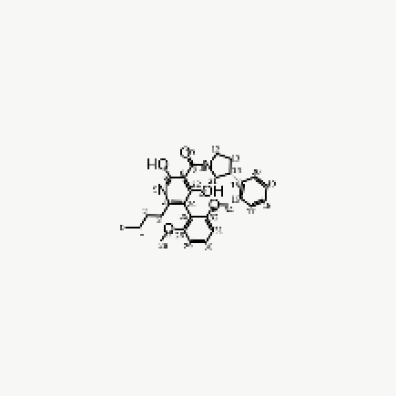 CCCCc1nc(O)c(C(=O)N2CC[C@H](c3ccccc3)C2)c(O)c1-c1c(OC)cccc1OC